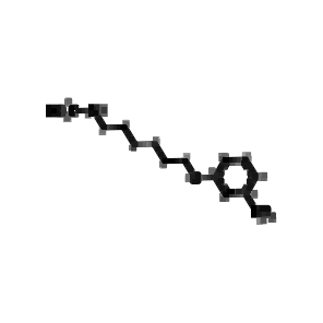 O=C(O)NCCCCCCOc1cccc([N+](=O)[O-])c1